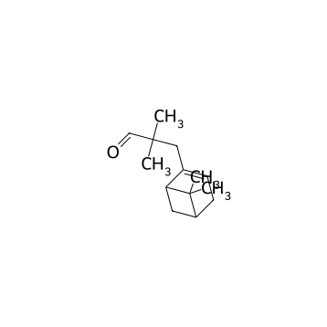 CC(C)(C=O)CC1=CCC2CC1C2(C)C